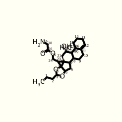 CCCC1OC2CC3C4CCC5=CCCC[C@]5(C)C4[C@@H](O)C[C@@]34C(COC(=O)CN)C24O1